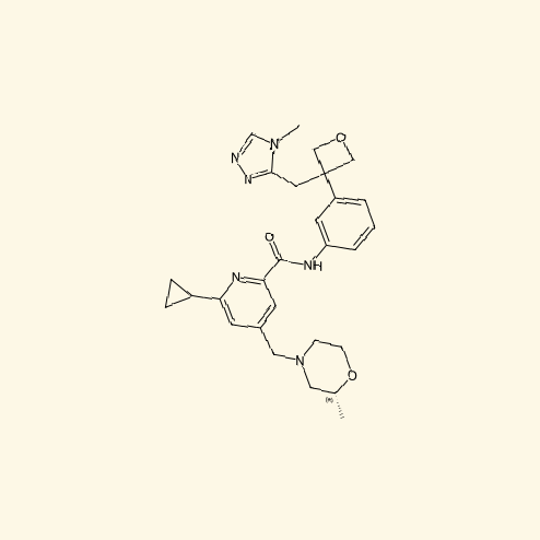 C[C@@H]1CN(Cc2cc(C(=O)Nc3cccc(C4(Cc5nncn5C)COC4)c3)nc(C3CC3)c2)CCO1